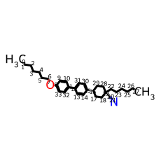 CCCCCCCOc1ccc(-c2ccc([C@H]3CC[C@@](C#N)(CCCCCC)CC3)cc2)cc1